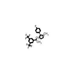 C[C@@H]1CC[C@H](O[C@H](C)c2cc(C(F)(F)F)cc(C(F)(F)F)c2)[C@H]1c1ccc(F)cc1